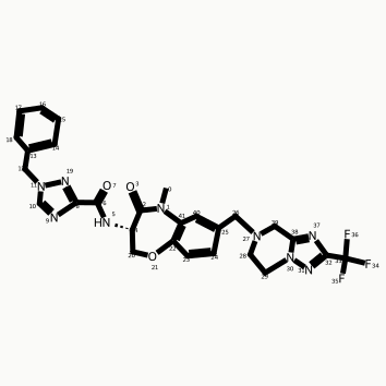 CN1C(=O)[C@@H](NC(=O)c2ncn(Cc3ccccc3)n2)COc2ccc(CN3CCn4nc(C(F)(F)F)nc4C3)cc21